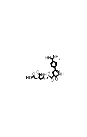 N=C(N)c1ccc(-c2cc(C(=O)NC[C@@H]3C[C@@H](CC(=O)O)C(=O)N3)c(=O)[nH]n2)cc1